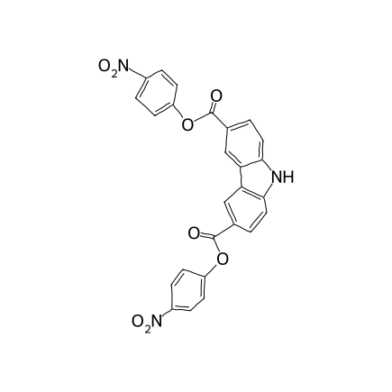 O=C(Oc1ccc([N+](=O)[O-])cc1)c1ccc2[nH]c3ccc(C(=O)Oc4ccc([N+](=O)[O-])cc4)cc3c2c1